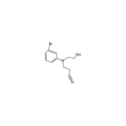 N#CCCN(CCO)c1cccc(Br)c1